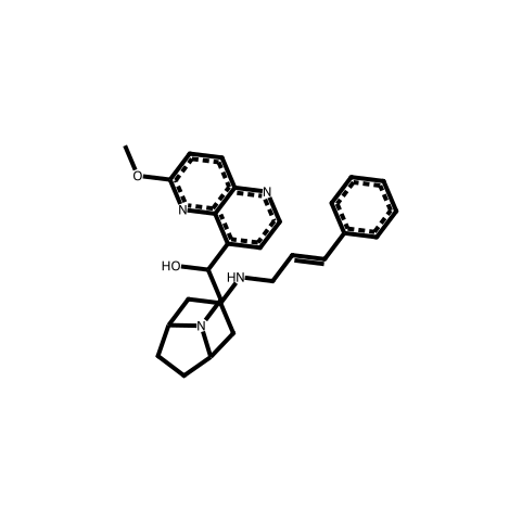 COc1ccc2nccc(C(O)CN3C4CCC3CC(NC/C=C/c3ccccc3)C4)c2n1